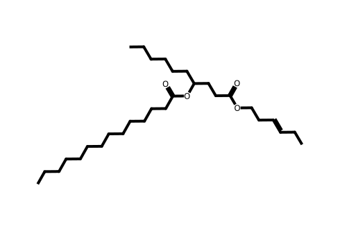 CC/C=C/CCOC(=O)CCC(CCCCCC)OC(=O)CCCCCCCCCCCCC